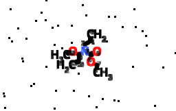 C=CCN(C(=O)OCC)C(C=C)OC